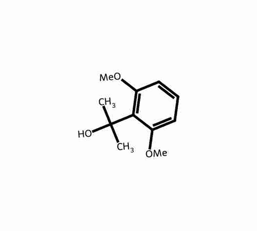 COc1cccc(OC)c1C(C)(C)O